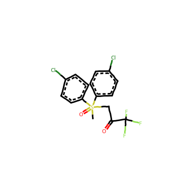 CS(=O)(CC(=O)C(F)(F)F)(c1ccc(Cl)cc1)c1ccc(Cl)cc1